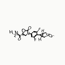 NC(=O)[C@H]1CN(c2cc(F)c(C3[C@H]4C[S+]([O-])C[C@@H]34)c(F)c2)C(=O)O1